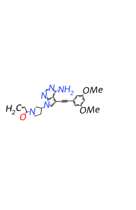 C=CC(=O)N1CCC(n2cc(C#Cc3cc(OC)cc(OC)c3)c3c(N)ncnc32)C1